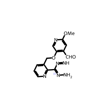 COc1cc(C=O)c(OCc2cccnc2/C(N=N)=N/N)cn1